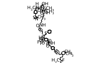 C=C(CCC1=C(CN2CCN(c3ccc(C(=O)NS(=O)(=O)c4ccc(N[C@H](CCN5CC[C@H](C(=O)NCCCCCCC(=O)N[C@H](C(=O)N6C[C@H](O)C[C@H]6C(=O)N[C@@H](C)c6ccc(-c7scnc7C)cc6)C(C)(C)C)C5)CSc5ccccc5)c(S(=O)(=O)C(F)(F)F)c4)cc3)CC2)CCC(C)(C)C1)C(F)F